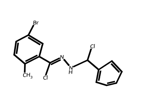 Cc1ccc(Br)cc1C(Cl)=NNC(Cl)c1ccccc1